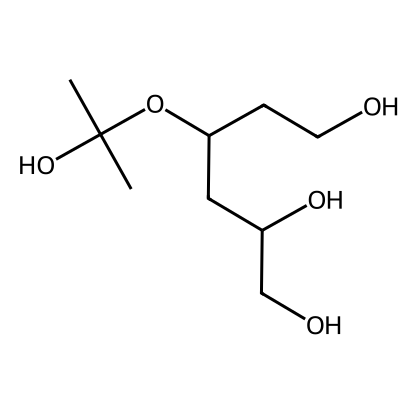 CC(C)(O)OC(CCO)CC(O)CO